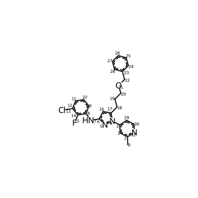 Cc1cc(-n2nc(Nc3cccc(Cl)c3F)cc2CCCOCc2ccccc2)ccn1